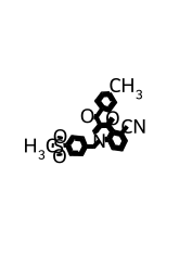 Cc1ccc(C(=O)c2cn(Cc3ccc(S(C)(=O)=O)cc3)c3cccc(C#N)c3c2=O)cc1